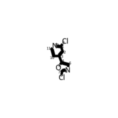 Clc1cc(-c2cnc(Cl)o2)ccn1